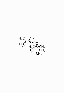 C=C(C)C1=C[C@@H](O[Si](C)(C)C(C)(C)C)CC1